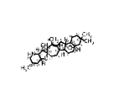 CC1=C2C[C@H]3[C@@H](CC[C@@H]4CC(C)(C)CC[C@@]43C)[C@@H]2CC[C@@]2(C1)O[C@@H]1C[C@H](C)CN[C@H]1[C@H]2C